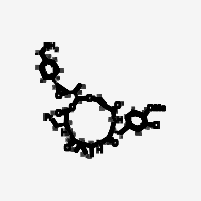 COc1ccc(C[C@H]2NC(=O)/C=C/C[C@@H](C(C)[C@H]3O[C@@H]3c3ccc(CN)cc3)OC(=O)[C@H](CC(C)C)NC(=O)C(C)(C)C(C)NC2=O)cc1Cl